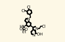 CCS(=O)(=O)Nc1cc(-c2cn(CCCl)c3c(O)nccc23)cc2c1ccn2Cc1ccc(Cl)c(Cl)c1